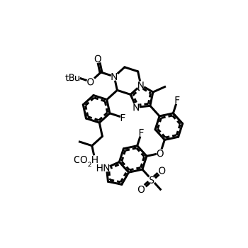 Cc1c(-c2cc(Oc3c(F)cc4[nH]ccc4c3S(C)(=O)=O)ccc2F)nc2n1CCN(C(=O)OC(C)(C)C)C2c1cccc(CC(C)C(=O)O)c1F